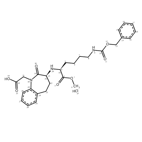 COC(=O)[C@H](CCCCNC(=O)OCc1ccccc1)N[C@H]1CCc2ccccc2N(CC(=O)O)C1=O.Cl